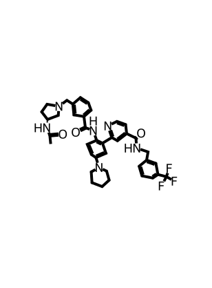 CC(=O)N[C@@H]1CCN(Cc2cccc(C(=O)Nc3ccc(N4CCCCC4)cc3-c3cc(C(=O)NCc4cccc(C(F)(F)F)c4)ccn3)c2)C1